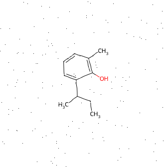 CCC(C)c1cccc(C)c1O